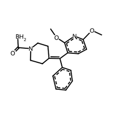 BC(=O)N1CCC(=C(c2ccccc2)c2ccc(OC)nc2OC)CC1